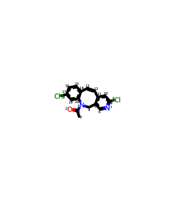 CC(=O)N1Cc2cnc(Cl)cc2C=Cc2ccc(Cl)cc21